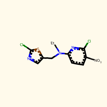 CCN(Cc1cnc(Cl)s1)c1ccc([N+](=O)[O-])c(Cl)n1